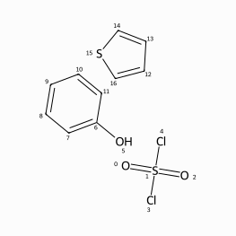 O=S(=O)(Cl)Cl.Oc1ccccc1.c1ccsc1